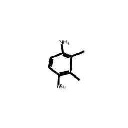 CCCCc1ccc(N)c(C)c1C